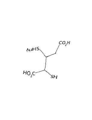 O=C(O)CC(S)C(S)C(=O)O.[Au]